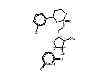 CC(=O)O[C@@H]1[C@@H](COP2(=O)OCCC(c3cccc(Cl)c3)O2)O[C@@H](n2ccc(=O)[nH]c2=O)[C@]1(C)O